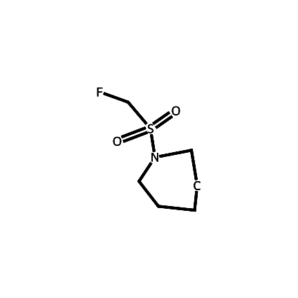 O=S(=O)(CF)N1CCCCC1